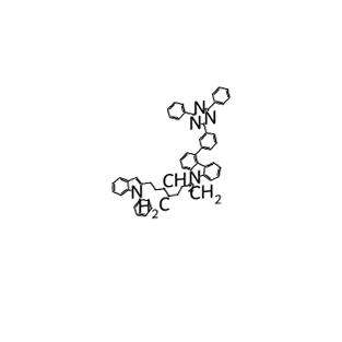 C=C(CCC(=C)n1c2ccccc2c2c(-c3cccc(-c4nc(-c5ccccc5)nc(-c5ccccc5)n4)c3)cccc21)C(=C)CCc1cc2ccccc2n1C1=CC=CCC1